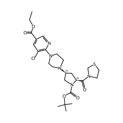 CCOC(=O)c1cnc(N2CCN([C@H]3C[C@@H](C(=O)N4CCSC4)N(C(=O)OC(C)(C)C)C3)CC2)c(Cl)c1